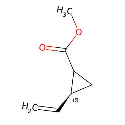 C=C[C@@H]1CC1C(=O)OC